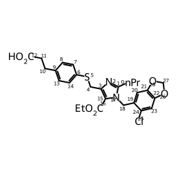 CCCc1nc(CSc2ccc(CCC(=O)O)cc2)c(C(=O)OCC)n1Cc1cc2c(cc1Cl)OCO2